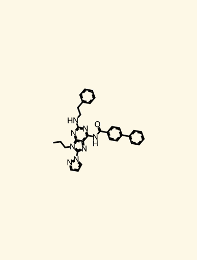 CCCn1c(-n2cccn2)nc2c(NC(=O)c3ccc(-c4ccccc4)cc3)nc(NCCc3ccccc3)nc21